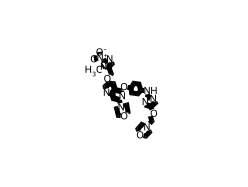 Cn1c(COc2cnc3cc(N4CCOCC4)nc(OC4CCC(Nc5ncc(OCCN6CCOCC6)cn5)CC4)c3c2)cnc1[N+](=O)[O-]